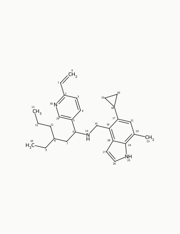 C=Cc1ccc(C(CC(CC)CCC)NCc2c(C3CC3)cc(C)c3[nH]ccc23)cn1